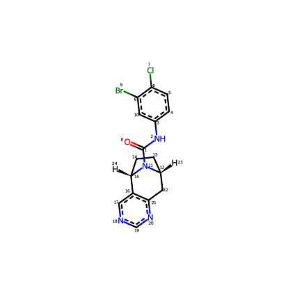 O=C(Nc1ccc(Cl)c(Br)c1)N1[C@@H]2CC[C@H]1c1cncnc1C2